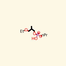 CCCOP(=O)(O)OCC(C)COCC